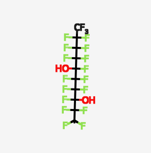 OC(F)(C(F)(F)[C](F)F)C(F)(F)C(F)(F)C(O)(F)C(F)(F)C(F)(F)C(F)(F)C(F)(F)F